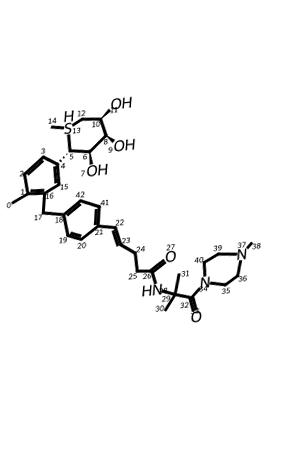 Cc1ccc([C@H]2[C@H](O)[C@H](O)[C@H](O)C[SH]2C)cc1Cc1ccc(/C=C/CCC(=O)NC(C)(C)C(=O)N2CCN(C)CC2)cc1